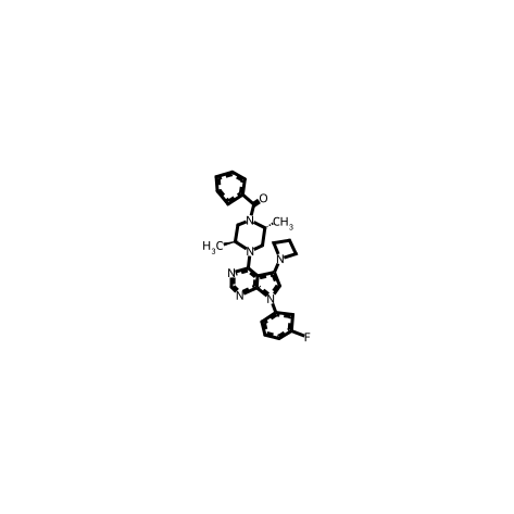 C[C@@H]1CN(c2ncnc3c2c(N2CCC2)cn3-c2cccc(F)c2)[C@@H](C)CN1C(=O)c1ccccc1